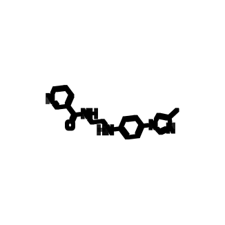 Cc1cn(-c2ccc(NCCNC(=O)c3cccnc3)cc2)cn1